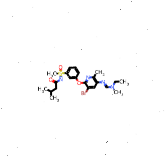 CCN(C)C=Nc1cc(Br)c(Oc2cccc(S(C)(=O)=NC(=O)CC(C)C)c2)nc1C